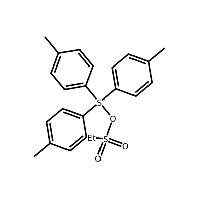 CCS(=O)(=O)OS(c1ccc(C)cc1)(c1ccc(C)cc1)c1ccc(C)cc1